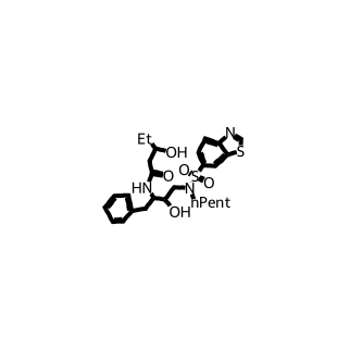 CCCCCN(CC(O)C(Cc1ccccc1)NC(=O)CC(O)CC)S(=O)(=O)c1ccc2ncsc2c1